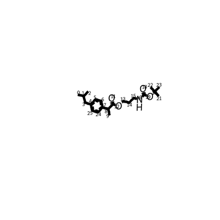 CC(C)Cc1ccc(C(C)C(=O)OCCCNC(=O)OC(C)(C)C)cc1